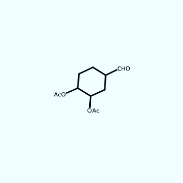 CC(=O)OC1CCC(C=O)CC1OC(C)=O